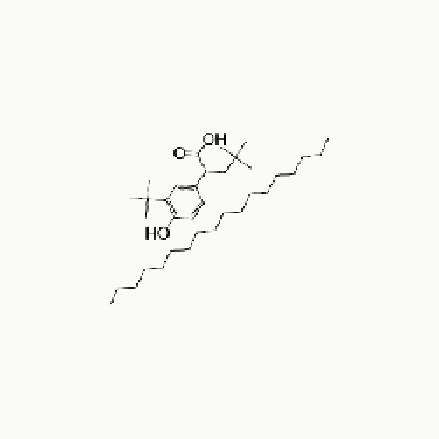 CC(C)(C)CC(C(=O)O)c1ccc(O)c(C(C)(C)C)c1.CCCCCCCCCCCCCCCCCC